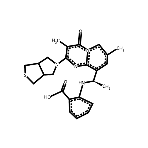 Cc1cc([C@@H](C)Nc2ccccc2C(=O)O)c2nc(N3CC4CSCC4C3)c(C)c(=O)n2c1